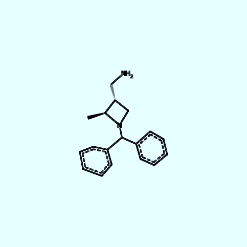 C[C@H]1[C@H](CN)CN1C(c1ccccc1)c1ccccc1